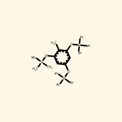 Cc1c(O[Si](C(C)C)(C(C)C)C(C)C)cc(O[Si](C(C)C)(C(C)C)C(C)C)cc1O[Si](C)(C)C(C)(C)C